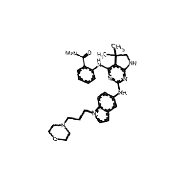 CNC(=O)c1ccccc1Nc1nc(Nc2ccc3c(ccn3CCCN3CCOCC3)c2)nc2c1C(C)(C)CN2